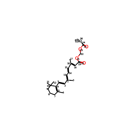 CC(C=CC1=C(C)CCCC1(C)C)=CC=CC(C)=CC(=O)OCOC(=O)C(C)(C)C